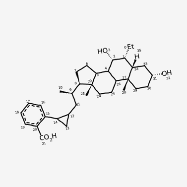 CC[C@H]1[C@@H](O)C2C3CC[C@H]([C@H](C)CC4CC4c4ccccc4C(=O)O)[C@@]3(C)CCC2[C@@]2(C)CC[C@@H](O)C[C@@H]12